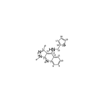 Cc1nn(C)c2nc3ccccc3c(NCc3cccs3)c12